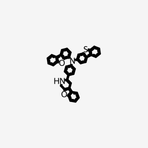 C1=C(c2ccc(N(c3ccc4c(c3)sc3ccccc34)c3cccc4c3oc3ccccc34)cc2)NCc2oc3ccccc3c21